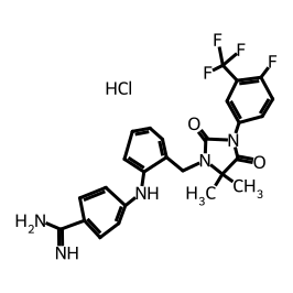 CC1(C)C(=O)N(c2ccc(F)c(C(F)(F)F)c2)C(=O)N1Cc1ccccc1Nc1ccc(C(=N)N)cc1.Cl